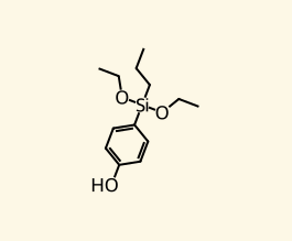 CCC[Si](OCC)(OCC)c1ccc(O)cc1